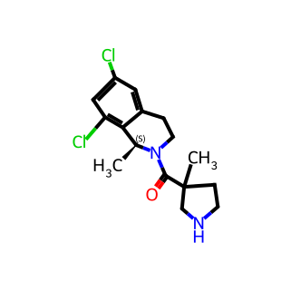 C[C@H]1c2c(Cl)cc(Cl)cc2CCN1C(=O)C1(C)CCNC1